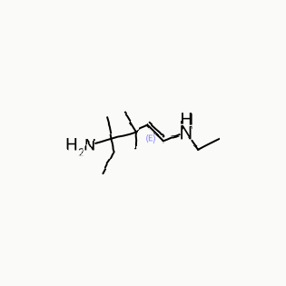 CCN/C=C/C(C)(C)C(C)(N)CC